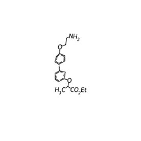 CCOC(=O)C(C)Oc1cccc(-c2ccc(OCCN)cc2)c1